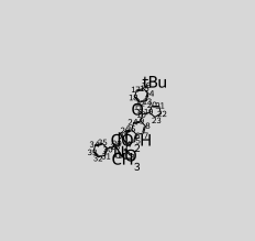 CN(C(=O)c1cc2ccc(C(Oc3ccc(C(C)(C)C)cc3)C3CCCC3)cc2cn1)C(C(=O)O)c1ccccc1